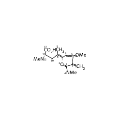 C=C(C(=O)NC)/C(=C\C=C(/C)C[C@H](NC)C(=O)O)OC